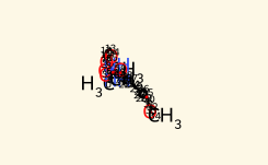 CNC(=O)C(C)(C(=O)NOC1CCCCO1)N(C)C(=O)c1ccc(C#Cc2ccc(CCCOC)cc2)cc1